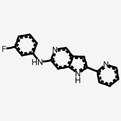 Fc1cccc(Nc2cc3[nH]c(-c4ccccn4)cc3cn2)c1